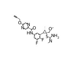 C#CCOc1cnc(C(=O)Nc2cc(F)c(F)c(C3[C@H](C)[C@]3(COC)S/C(N)=N\C)c2)cn1